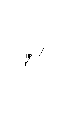 CCPF